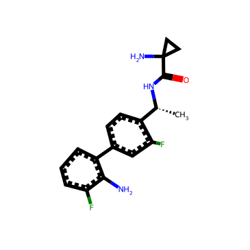 C[C@@H](NC(=O)C1(N)CC1)c1ccc(-c2cccc(F)c2N)cc1F